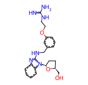 N=C(N)NCCOc1cccc(CNc2nc3ccccc3n2[C@H]2CC[C@@H](CO)O2)c1